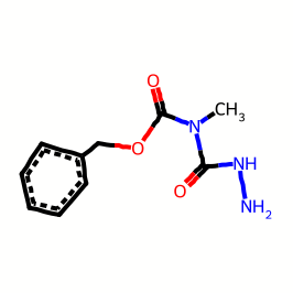 CN(C(=O)NN)C(=O)OCc1ccccc1